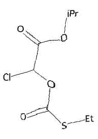 CCSC(=O)OC(Cl)C(=O)OC(C)C